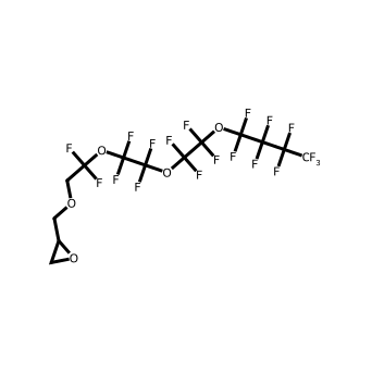 FC(F)(COCC1CO1)OC(F)(F)C(F)(F)OC(F)(F)C(F)(F)OC(F)(F)C(F)(F)C(F)(F)C(F)(F)F